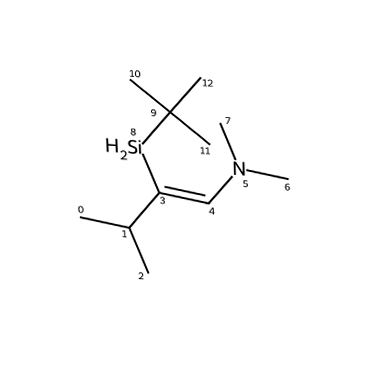 CC(C)C(=CN(C)C)[SiH2]C(C)(C)C